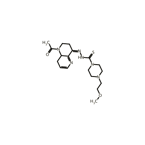 COCCN1CCN(C(=S)N/N=C2/CCN(C(C)=O)C3CC=CN=C23)CC1